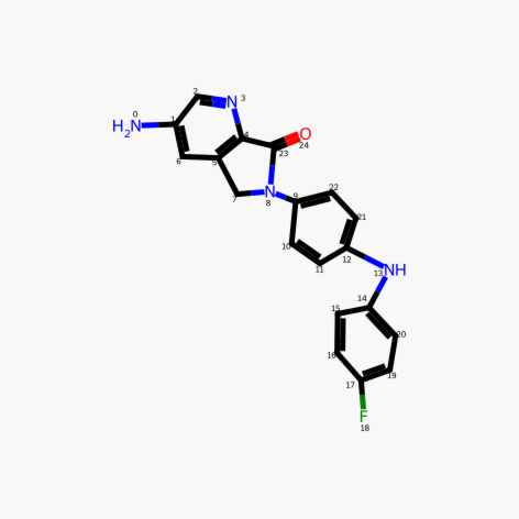 Nc1cnc2c(c1)CN(c1ccc(Nc3ccc(F)cc3)cc1)C2=O